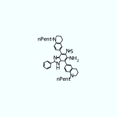 CCCCCN1CCCc2cc(C3=C(N=S)C(N)=C(c4ccc5c(c4)CCCN5CCCCC)C4NC(c5ccccc5)N=C34)ccc21